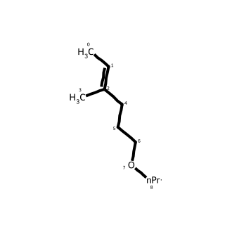 C/C=C(\C)CCCO[CH]CC